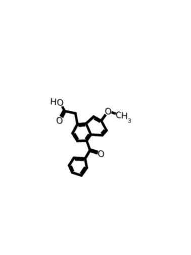 COc1ccc2c(C(=O)c3ccccc3)ccc(CC(=O)O)c2c1